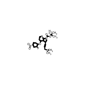 CN(C)CC#Cc1cn(C(=O)OC(C)(C)C)c2nccc(Oc3ccc([N+](=O)[O-])cc3F)c12